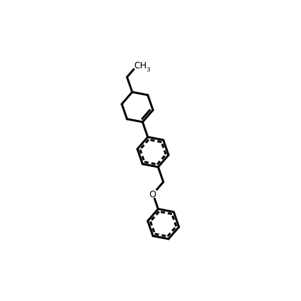 CCC1CC=C(c2ccc(COc3ccccc3)cc2)CC1